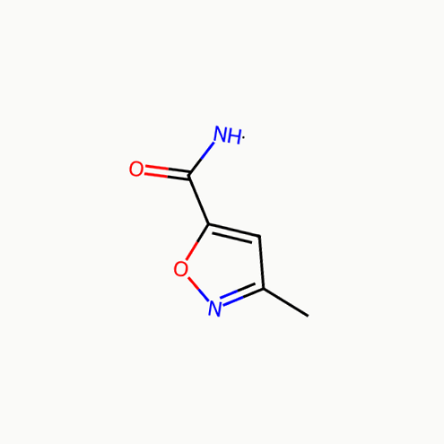 Cc1cc(C([NH])=O)on1